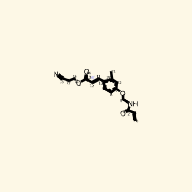 C=CC(=O)NCOc1ccc(/C=C/C(=O)OCCC#N)c(C)c1